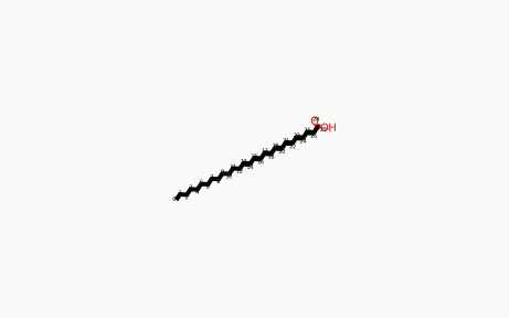 CCCCCCCCCCCCCC=CC=CC=CC=CC=CC=CC=CC(=O)O